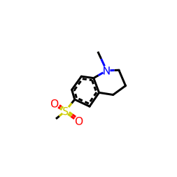 CN1CCCc2cc(S(C)(=O)=O)ccc21